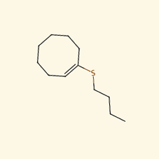 CCCCSC1=CCCCCCC1